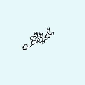 CC(C(N)=O)(c1ccc(Cc2ccccc2)cn1)N1CCC(F)(F)[C@@H](c2ccc(=O)[nH]c2)C1